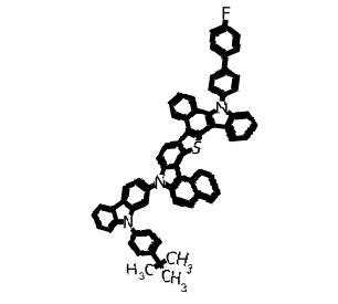 CC(C)(C)c1ccc(-n2c3ccccc3c3ccc(-n4c5ccc6ccccc6c5c5c6sc7c(c8ccccc8c8c7c7ccccc7n8-c7ccc(-c8ccc(F)cc8)cc7)c6ccc54)cc32)cc1